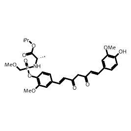 COCP(=O)(N[C@@H](C)C(=O)OC(C)C)Oc1ccc(/C=C/C(=O)CC(=O)/C=C/c2ccc(O)c(OC)c2)cc1OC